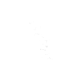 COc1ccc(NCC2(NC(C)=O)NC(c3cncs3)=CS2)cn1